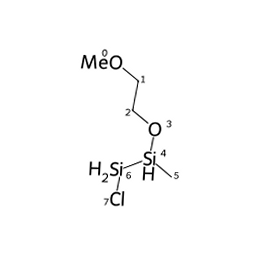 COCCO[SiH](C)[SiH2]Cl